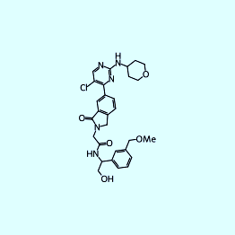 COCc1cccc(C(CO)NC(=O)CN2Cc3ccc(-c4nc(NC5CCOCC5)ncc4Cl)cc3C2=O)c1